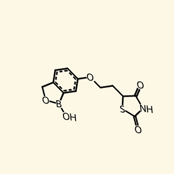 O=C1NC(=O)C(CCOc2ccc3c(c2)B(O)OC3)S1